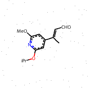 COc1cc(C(C)=CC=O)cc(OC(C)C)n1